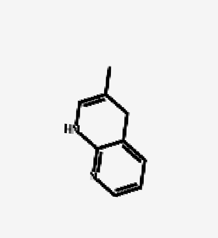 CC1=CNc2ncccc2C1